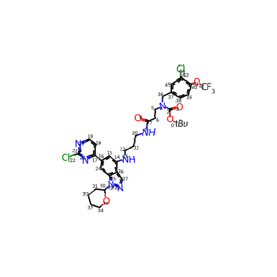 CC(C)(C)OC(=O)N(CCC(=O)NCCCNc1cc(-c2ccnc(Cl)n2)cc2c1cnn2C1CCCCO1)Cc1ccc(OC(F)(F)F)c(Cl)c1